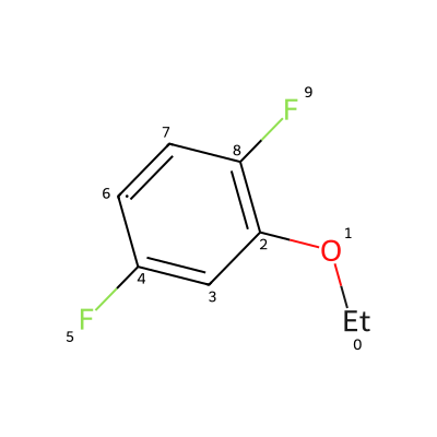 CCOc1cc(F)[c]cc1F